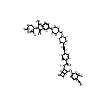 N#Cc1ccc(OC2C3CCC3C2NC(=O)c2ccc(C#CC3CCN(CC4CCN(c5ccc6c(c5)C(=O)N(C5CCC(=O)NC5=O)C6=O)CC4)CC3)cc2)cc1Cl